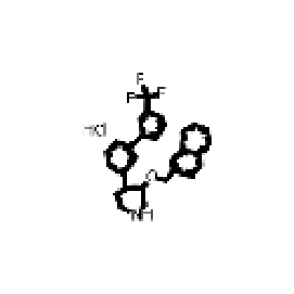 Cl.FC(F)(F)c1cccc(-c2cccc(C3CCNCC3OCc3ccc4ccccc4c3)c2)c1